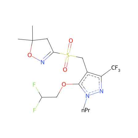 CCCn1nc(C(F)(F)F)c(CS(=O)(=O)C2=NOC(C)(C)C2)c1OCC(F)F